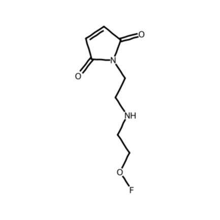 O=C1C=CC(=O)N1CCNCCOF